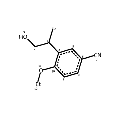 [CH2]C(CO)c1cc(C#N)ccc1OCC